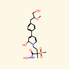 COC(CO)Cc1ccc(C2=CC(O)N(CCC(C)(C(=O)NO)S(C)(=O)=O)C=C2)cc1